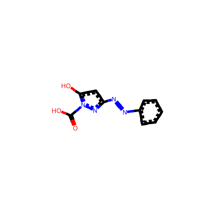 O=C(O)n1nc(N=Nc2ccccc2)cc1O